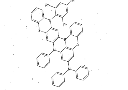 CC(C)c1cc(C(C)C)c(B2c3ccccc3Sc3cc4c(cc32)B2c3ccccc3Sc3cc(N(c5ccccc5)c5ccccc5)cc(c32)N4c2ccccc2)c(C(C)C)c1